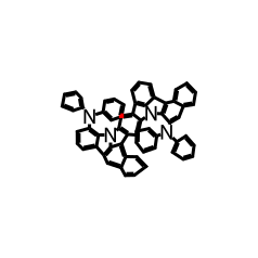 c1ccc(N(c2ccccc2)c2cc3ccccc3c3c4cccc5c6cc7c(cc6n(c23)c54)c2c3ccccc3cc3c4cccc(N(c5ccccc5)c5ccccc5)c4n7c32)cc1